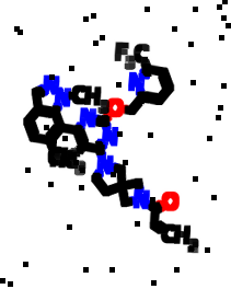 C=CC(=O)N1CC2(CCN(c3nc(OCc4cccc(C(F)(F)F)n4)nc(-c4c(C)ccc5cnn(C)c45)c3C#N)C2)C1